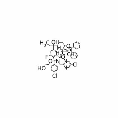 CCC(O)(c1cc(F)c2c(c1)C(=O)N(Cc1ncc(Cl)cn1)[C@@]2(OCCO)c1ccc(Cl)cc1)C1CCC(O[Si](c2ccccc2)(c2ccccc2)C(C)(C)C)CC1